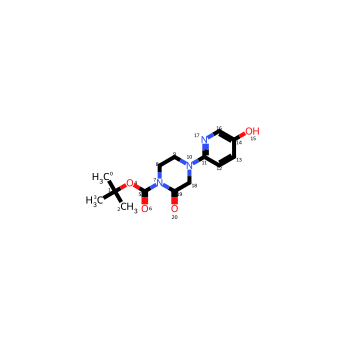 CC(C)(C)OC(=O)N1CCN(c2ccc(O)cn2)CC1=O